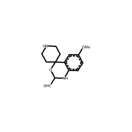 COc1ccc2c(c1)C1(CCNCC1)OC(C=O)N2